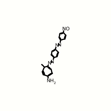 CC1C#CC(N)=CC=C1N=Nc1ccc(N=Nc2ccc(N=O)cc2)cc1